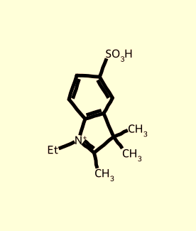 CC[N+]1=C(C)C(C)(C)c2cc(S(=O)(=O)O)ccc21